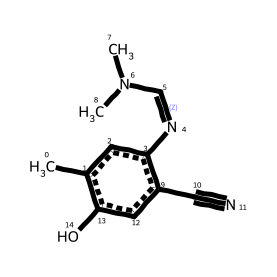 Cc1cc(/N=C\N(C)C)c(C#N)cc1O